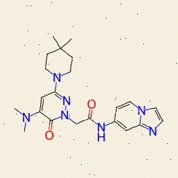 CN(C)c1cc(N2CCC(C)(C)CC2)nn(CC(=O)Nc2ccn3ccnc3c2)c1=O